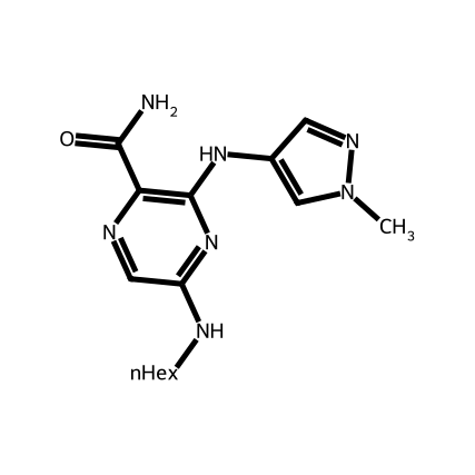 CCCCCCNc1cnc(C(N)=O)c(Nc2cnn(C)c2)n1